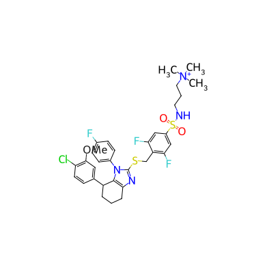 COc1cc(C2CCCc3nc(SCc4c(F)cc(S(=O)(=O)NCCC[N+](C)(C)C)cc4F)n(-c4ccc(F)cc4)c32)ccc1Cl